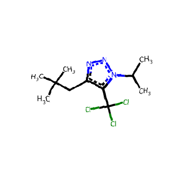 CC(C)n1nnc(CC(C)(C)C)c1C(Cl)(Cl)Cl